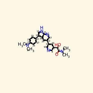 CN(C)C(=O)C(O)c1cncc(-c2cnc3[nH]cc(-c4ccc(N(C)C)cc4)c3c2)c1